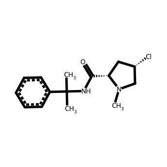 CN1C[C@@H](Cl)C[C@H]1C(=O)NC(C)(C)c1ccccc1